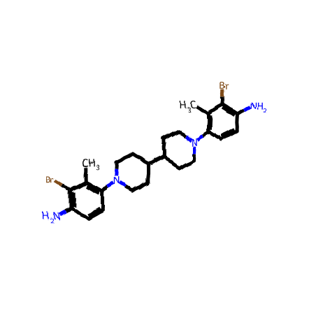 Cc1c(N2CCC(C3CCN(c4ccc(N)c(Br)c4C)CC3)CC2)ccc(N)c1Br